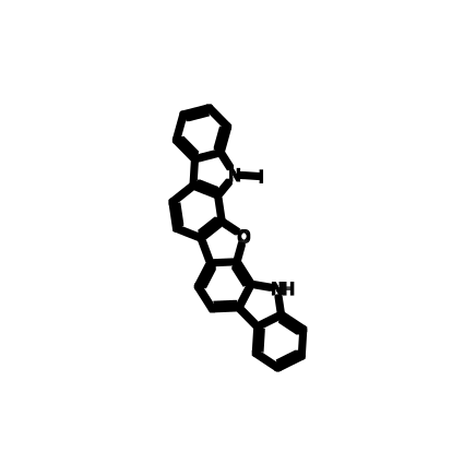 In1c2ccccc2c2ccc3c4ccc5c6ccccc6[nH]c5c4oc3c21